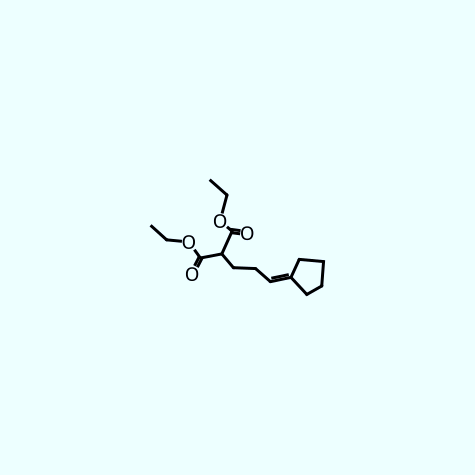 CCOC(=O)C(CCC=C1CCCC1)C(=O)OCC